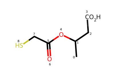 CC(CC(=O)O)OC(=O)CS